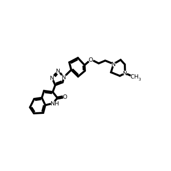 CN1CCN(CCOc2ccc(-n3cc(-c4cc5ccccc5[nH]c4=O)nn3)cc2)CC1